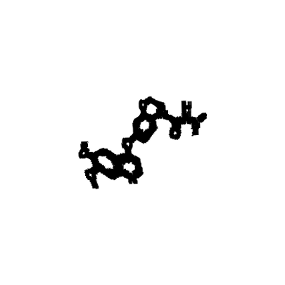 COc1cc2nccc(Oc3ccc4c(c3)OCCN4C(=O)NN(C)C)c2cc1OC